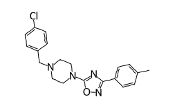 Cc1ccc(-c2noc(N3CCN(Cc4ccc(Cl)cc4)CC3)n2)cc1